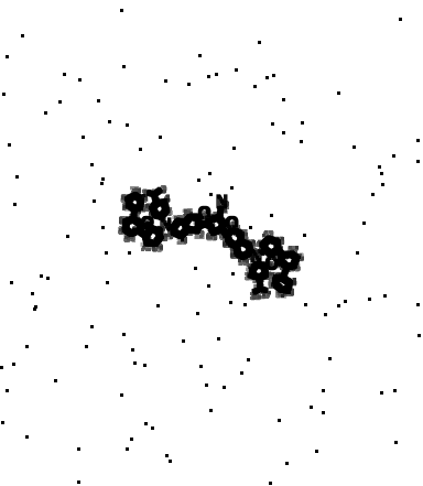 CC(C)c1ccc(N(c2ccc3cc4c(cc3c2)oc2c(C#N)c3oc5cc6cc(N(c7ccc(C(C)C)cc7)c7cccc8c7oc7c(-c9ccccc9)cccc78)ccc6cc5c3cc24)c2cccc3c2oc2c(-c4ccccc4)cccc23)cc1